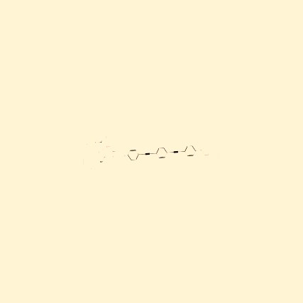 C=CC(=O)OCC(COc1ccc(C#Cc2ccc(C#Cc3ccc(CCC)cc3)cc2)cc1)OC(=O)C=C